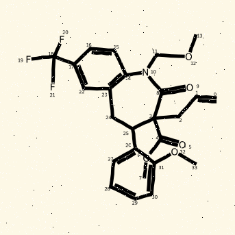 C=CCC1(C(=O)OC)C(=O)N(COC)c2ccc(C(F)(F)F)cc2CC1c1ccccc1OC